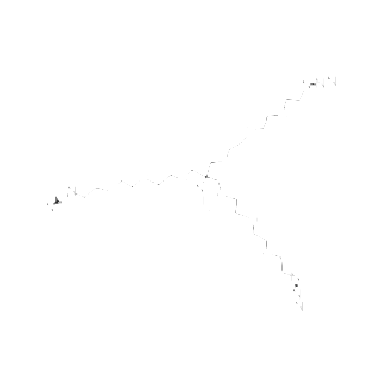 [N-]=[N+]=NCCOCCOCCOCC(N)(COCCOCCOCCN=[N+]=[N-])COCCOCCOCCN=[N+]=[N-]